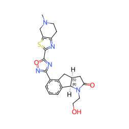 CN1CCc2nc(-c3nc(-c4cccc5c4C[C@H]4CC(=O)N(CCO)[C@@H]54)no3)sc2C1